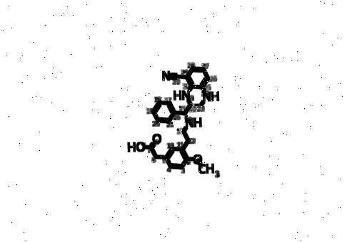 COc1ccc(CC(=O)O)cc1CCN[C@H](c1ccccc1)[C@H]1CNc2cccc(C#N)c2N1